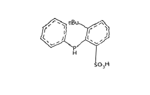 CCCCc1cccc(S(=O)(=O)O)c1Pc1ccccc1